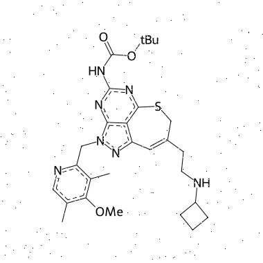 COc1c(C)cnc(Cn2nc3c4c(nc(NC(=O)OC(C)(C)C)nc42)SCC(CCNC2CCC2)=C3)c1C